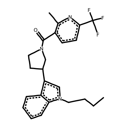 CCCCn1cc(C2CCN(C(=O)c3ccc(C(F)(F)F)nc3C)C2)c2ccccc21